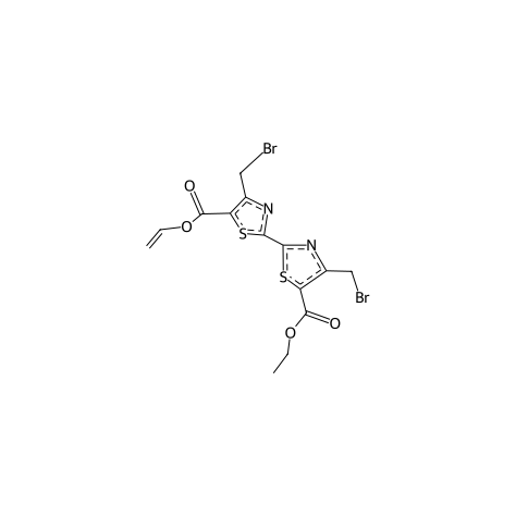 C=COC(=O)c1sc(-c2nc(CBr)c(C(=O)OCC)s2)nc1CBr